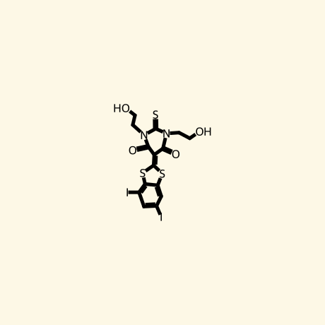 O=C1C(=C2Sc3cc(I)cc(I)c3S2)C(=O)N(CCO)C(=S)N1CCO